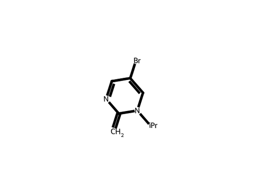 C=C1N=CC(Br)=CN1C(C)C